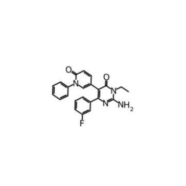 CCn1c(N)nc(-c2cccc(F)c2)c(-c2ccc(=O)n(-c3ccccc3)c2)c1=O